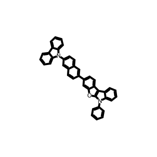 c1ccc(-n2c3ccccc3c3c4ccc(-c5ccc6cc(-n7c8ccccc8c8ccccc87)ccc6c5)cc4oc32)cc1